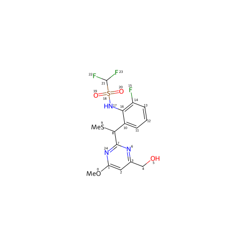 COc1cc(CO)nc(C(SC)c2cccc(F)c2NS(=O)(=O)C(F)F)n1